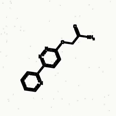 NC(=O)COc1ccc(-c2ccccn2)nn1